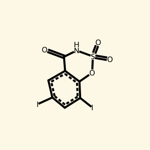 O=C1NS(=O)(=O)Oc2c(I)cc(I)cc21